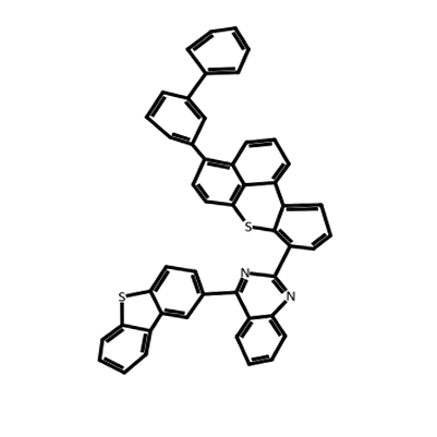 c1ccc(-c2cccc(-c3ccc4c5c(cccc35)-c3cccc(-c5nc(-c6ccc7sc8ccccc8c7c6)c6ccccc6n5)c3S4)c2)cc1